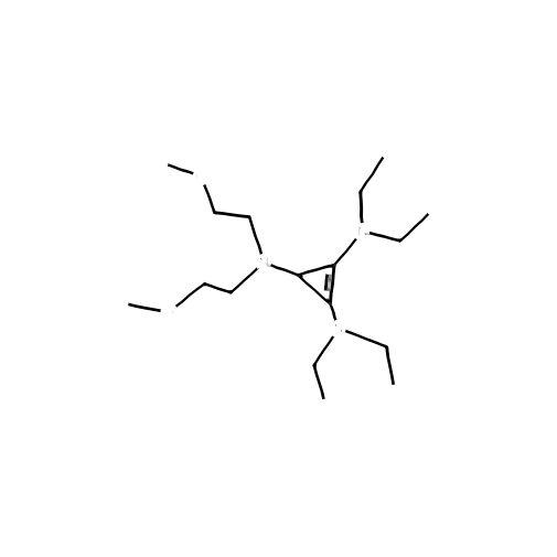 CCN(CC)C1=C(N(CC)CC)C1N(CCOC)CCOC